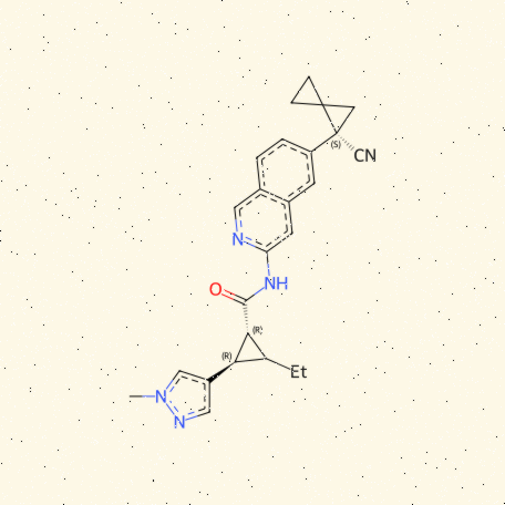 CCC1[C@@H](C(=O)Nc2cc3cc([C@]4(C#N)CC45CC5)ccc3cn2)[C@@H]1c1cnn(C)c1